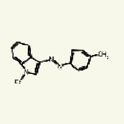 CCn1cc(/N=N/c2ccc(C)cc2)c2ccccc21